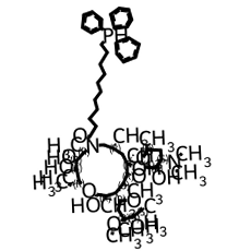 CC[C@H]1OC(O)[C@H](C)C([C@H]2C[C@@](C)(OC)[C@@H](O)[C@H](C)O2)[C@H](C)[C@@H](O[C@@H]2O[C@H](C)C[C@H](N(C)C)[C@H]2O)[C@](C)(O)C[C@@H](C)CN(C(=O)CCCCCCCCCC[PH](c2ccccc2)(c2ccccc2)c2ccccc2)[C@H](C)[C@@H](O)[C@]1(C)O